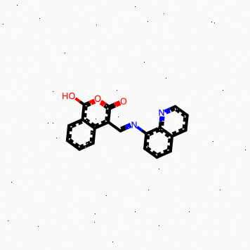 O=c1oc(O)c2ccccc2c1C=Nc1cccc2cccnc12